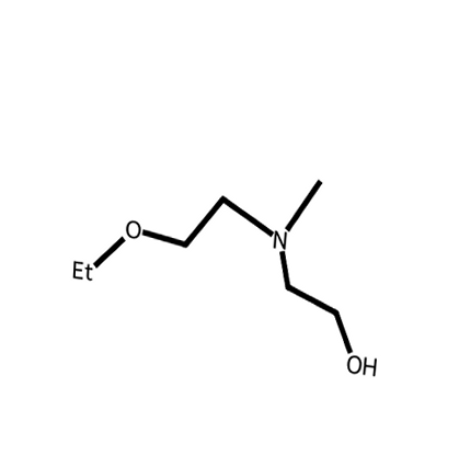 CCOCCN(C)CCO